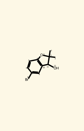 CC1(C)Oc2ccc(Br)cc2C1O